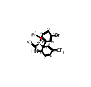 CC(C)CN1C(=O)NC2C=CC(C(F)(F)F)=CC21c1cccc(Br)c1